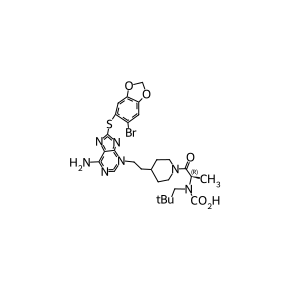 C[C@H](C(=O)N1CCC(CCn2cnc(N)c3nc(Sc4cc5c(cc4Br)OCO5)nc2-3)CC1)N(CC(C)(C)C)C(=O)O